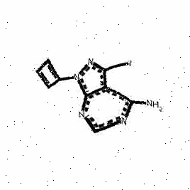 Nc1ncnc2c1c(I)nn2C1=CC=C1